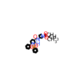 CC(C)(C)OC(=O)N1CC[C@H](NC(=O)[C@@H]2CC[C@H](c3ccccc3)N(S(=O)(=O)c3ccccc3)C2)C1